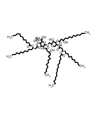 CCCCCCCCCCCCCCCC(=O)O[C@H](CCCCCCCCCCC)CC(=O)NC1COC(COC2OC(CO)C(OP(=O)(O)O)C(OC(=O)C[C@@H](CCCCCCCCCCC)OC(=O)CCCCCCCCCCC)C2NC(=O)C[C@H](O)CCCCCCCCCCC)C(O)C1OC(=O)C[C@H](O)CCCCCCCCCCC